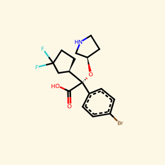 O=C(O)[C@](O[C@@H]1CCNC1)(c1ccc(Br)cc1)[C@@H]1CCC(F)(F)C1